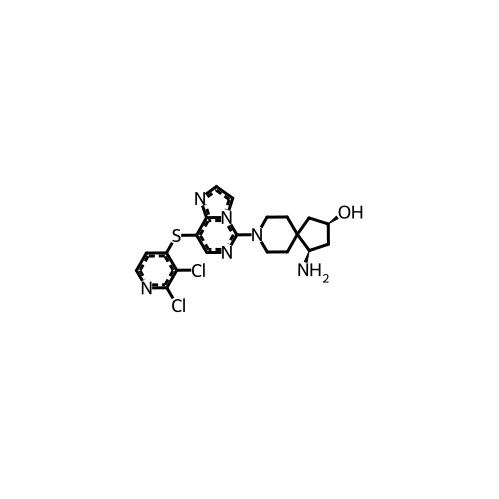 N[C@@H]1C[C@H](O)CC12CCN(c1ncc(Sc3ccnc(Cl)c3Cl)c3nccn13)CC2